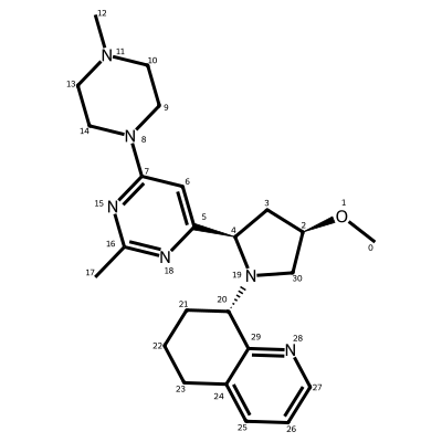 CO[C@@H]1C[C@H](c2cc(N3CCN(C)CC3)nc(C)n2)N([C@H]2CCCc3cccnc32)C1